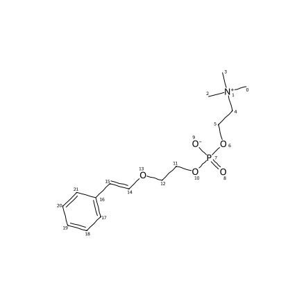 C[N+](C)(C)CCOP(=O)([O-])OCCOC=Cc1ccccc1